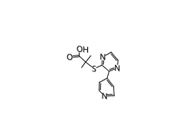 CC(C)(Sc1nccnc1-c1ccncc1)C(=O)O